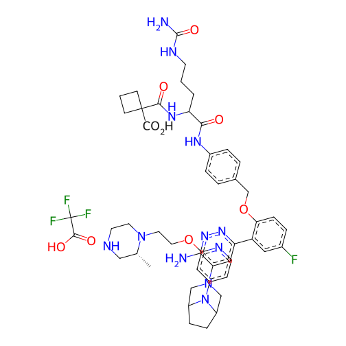 C[C@@H]1CNCCN1CCOc1cc(N2C3CCC2CN(c2cc(-c4cc(F)ccc4OCc4ccc(NC(=O)C(CCCNC(N)=O)NC(=O)C5(C(=O)O)CCC5)cc4)nnc2N)C3)ccn1.O=C(O)C(F)(F)F